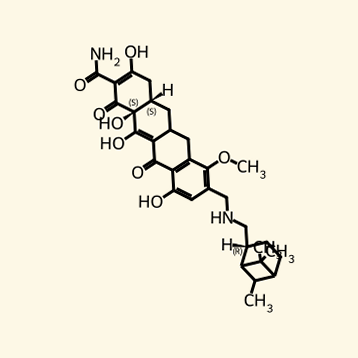 COc1c(CNC[C@@H]2CCC3C(C)C2C3(C)C)cc(O)c2c1CC1C[C@H]3CC(O)=C(C(N)=O)C(=O)[C@@]3(O)C(O)=C1C2=O